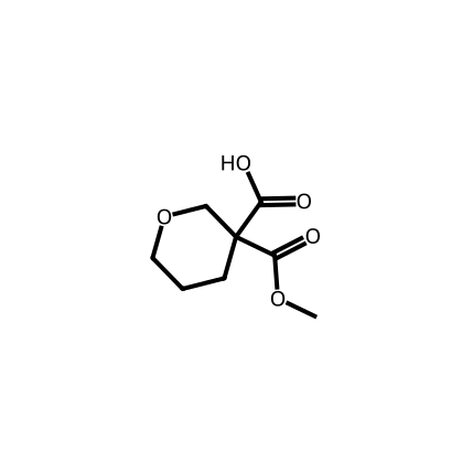 COC(=O)C1(C(=O)O)CCCOC1